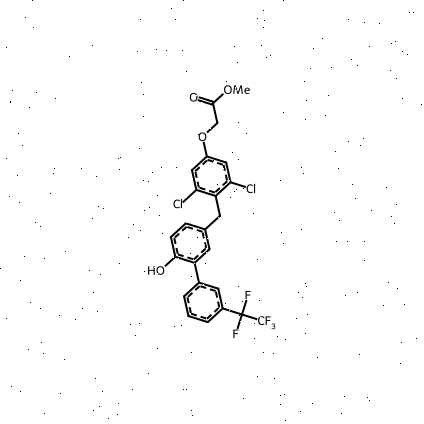 COC(=O)COc1cc(Cl)c(Cc2ccc(O)c(-c3cccc(C(F)(F)C(F)(F)F)c3)c2)c(Cl)c1